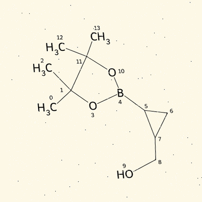 CC1(C)OB(C2CC2CO)OC1(C)C